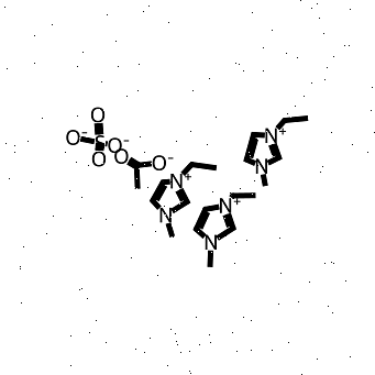 CC(=O)[O-].CC[n+]1ccn(C)c1.CC[n+]1ccn(C)c1.CC[n+]1ccn(C)c1.O=S(=O)([O-])[O-]